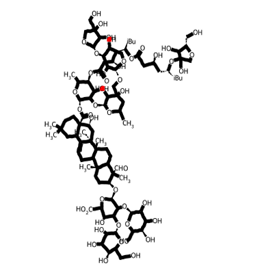 CC[C@H](C)[C@H](C[C@H](O)CC(=O)O[C@@H]1C(C)O[C@@H](OC(=O)[C@]23CCC(C)(C)CC2C2=CCC4[C@@]5(C)CC[C@H](O[C@@H]6OC(C(=O)O)[C@H](O)C(O[C@@H]7OC(CO)[C@@H](O)C(O)C7O)C6O[C@@H]6OC(CO)[C@H](O)C(O)C6O)[C@@](C)(C=O)C5CC[C@@]4(C)[C@]2(C)C[C@H]3O)C(O[C@@H]2OC(C)CC(O)(CO[C@H]3OCC(O)[C@H](O[C@@H]4OCC(O)(CO)C4O)C3O)C2O)C1O)OC(=O)C[C@@H](O)C[C@H](OC1(O)CO[C@@H](CO)C1O)[C@@H](C)CC